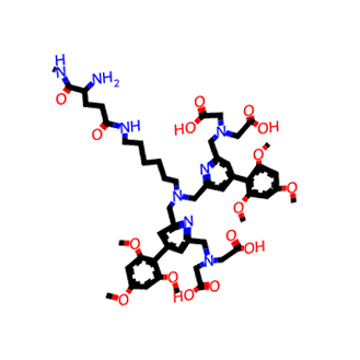 CNC(=O)C(N)CCC(=O)NCCCCCCN(Cc1cc(-c2c(OC)cc(OC)cc2OC)cc(CN(CC(=O)O)CC(=O)O)n1)Cc1cc(-c2c(OC)cc(OC)cc2OC)cc(CN(CC(=O)O)CC(=O)O)n1